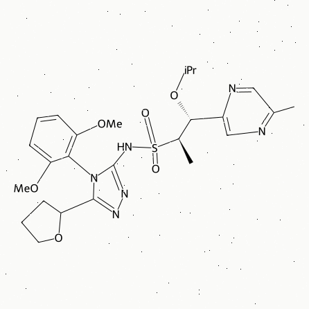 COc1cccc(OC)c1-n1c(NS(=O)(=O)[C@H](C)[C@H](OC(C)C)c2cnc(C)cn2)nnc1C1CCCO1